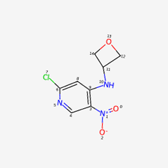 O=[N+]([O-])c1cnc(Cl)cc1NC1COC1